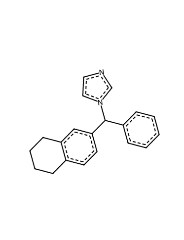 c1ccc(C(c2ccc3c(c2)CCCC3)n2ccnc2)cc1